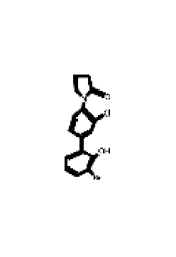 O=C1CCCN1c1ccc(-c2cccc(Br)c2O)cc1Cl